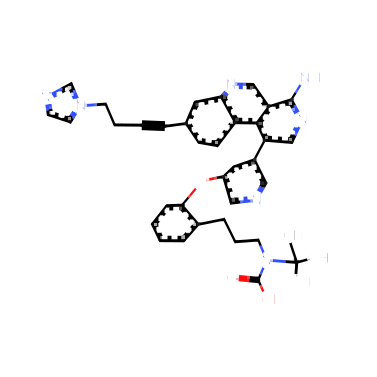 CC(C)(C)N(CCCc1ccccc1Oc1cncc(-c2cnc(N)c3cnc4cc(C#CCCn5ccnc5)ccc4c23)c1)C(=O)O